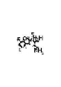 NCCc1c[nH]c(=S)n1[C@@H]1COc2c(F)cc(F)cc2C1